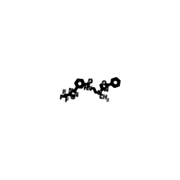 CN(CCNC(=O)c1cccc(-c2noc(C(F)(F)F)n2)c1)c1coc(-c2ccccc2)n1